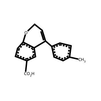 Cc1ccc(C2=CCOc3ccc(C(=O)O)cc32)cc1